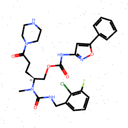 CN(C(=O)NCc1cccc(F)c1Cl)[C@@H](CCC(=O)N1CCNCC1)COC(=O)Nc1cc(-c2ccccc2)on1